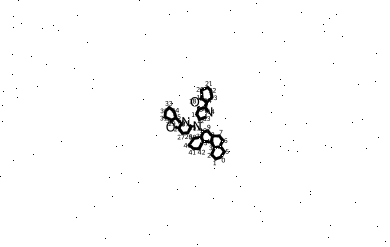 c1ccc2c(c1)ccc1cc(N(c3cnc4c(c3)oc3ccccc34)c3ccc4oc5ccccc5c4n3)c3ccccc3c12